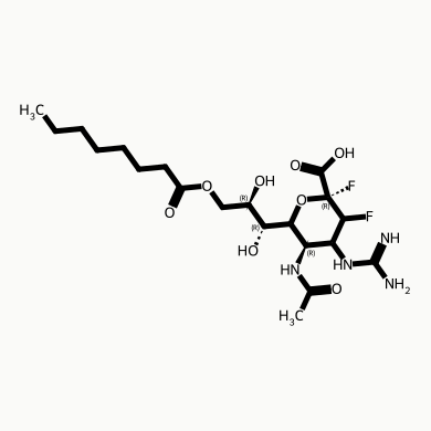 CCCCCCCC(=O)OC[C@@H](O)[C@@H](O)C1O[C@@](F)(C(=O)O)C(F)C(NC(=N)N)[C@H]1NC(C)=O